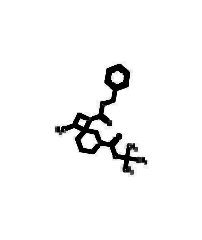 CC1CN(C(=O)OCc2ccccc2)C12CCCN(C(=O)OC(C)(C)C)C2